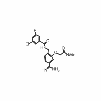 CNC(=O)COc1cc(C(=N)N)ccc1CNC(=O)c1cc(F)cc(Cl)c1